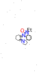 CCn1c(=O)n([C@H]2CCCC[C@@H]2N2CCCC2)c2ccccc21